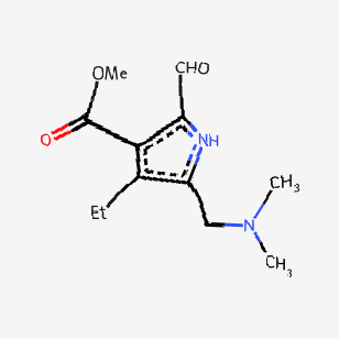 CCc1c(CN(C)C)[nH]c(C=O)c1C(=O)OC